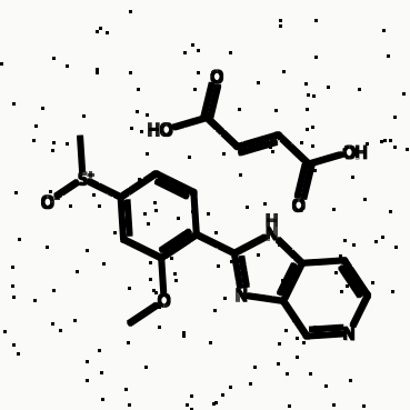 COc1cc([S+](C)[O-])ccc1-c1nc2cnccc2[nH]1.O=C(O)C=CC(=O)O